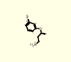 CC(CCN)Oc1[c]ccc(F)c1